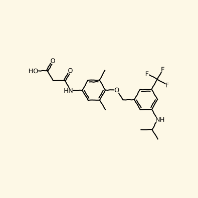 Cc1cc(NC(=O)CC(=O)O)cc(C)c1OCc1cc(NC(C)C)cc(C(F)(F)F)c1